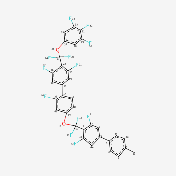 Cc1ccc(-c2cc(F)c(C(F)(F)Oc3ccc(-c4cc(F)c(C(F)(F)Oc5cc(F)c(F)c(F)c5)c(F)c4)c(F)c3)c(F)c2)cc1